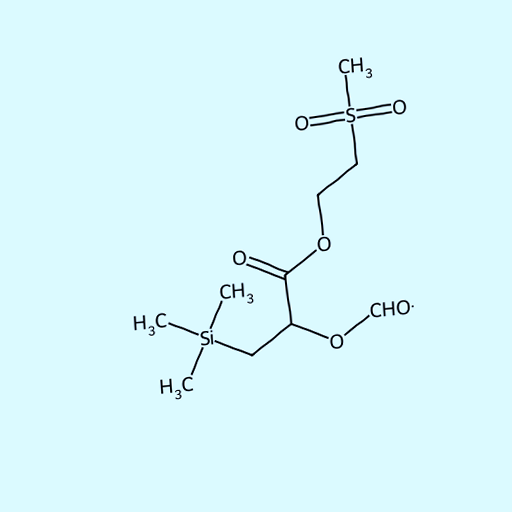 C[Si](C)(C)CC(O[C]=O)C(=O)OCCS(C)(=O)=O